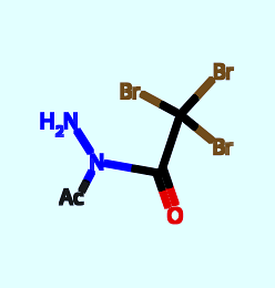 CC(=O)N(N)C(=O)C(Br)(Br)Br